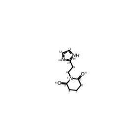 O=C1CCCC(=O)N1CCc1ncc[nH]1